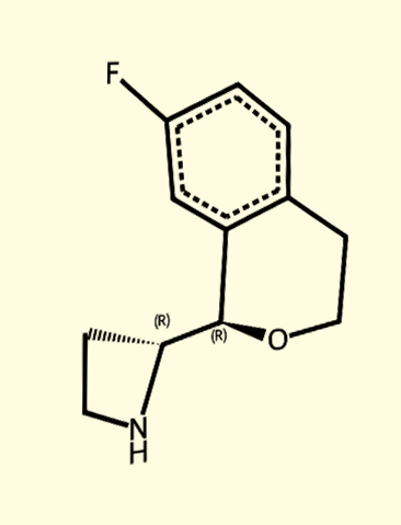 Fc1ccc2c(c1)[C@H]([C@H]1CCN1)OCC2